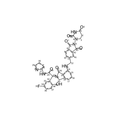 O=C1CCN(N2C(=O)c3ccc(CNc4cccc5c4C(=O)N(C(C(=O)Nc4nccs4)c4cc(F)ccc4O)C5)cc3C2=O)C(=O)N1